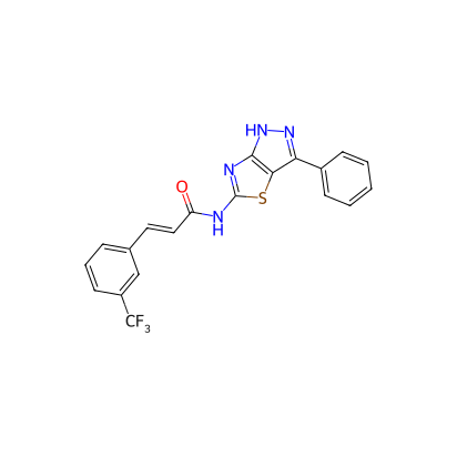 O=C(/C=C/c1cccc(C(F)(F)F)c1)Nc1nc2[nH]nc(-c3ccccc3)c2s1